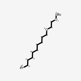 CCCCOCCOCCCCCCCCCC(C)C